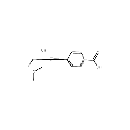 CCC(O)(C#Cc1ccc(C(=O)O)cc1)COC